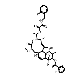 CO[C@H]1C[C@H]2C=CC3C4[C@H](O)[C@@H](C)[C@@H](OC(=O)c5ccc[nH]5)[C@@H]3O[C@]42/C(C)=C/[C@@H](C)[C@@H]([C@@H](C)OC(=O)C(=O)NCc2ccccc2F)OC1=O